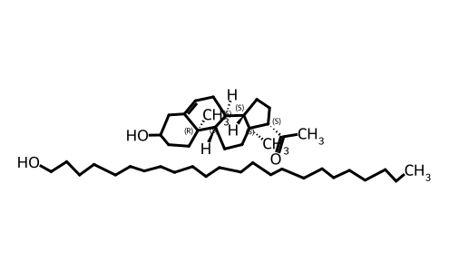 CC(=O)[C@H]1CC[C@H]2[C@@H]3CC=C4CC(O)CC[C@]4(C)[C@H]3CC[C@]12C.CCCCCCCCCCCCCCCCCCCCCCCCO